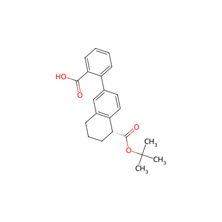 CC(C)(C)OC(=O)[C@@H]1CCCc2cc(-c3ccccc3C(=O)O)ccc21